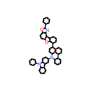 c1ccc(-c2nc3c(ccc4oc5c(-c6ccc(N(c7ccc8c(c7)c7ccccc7n8-c7ccccc7)c7ccccc7-c7ccccc7)cc6)cccc5c43)o2)cc1